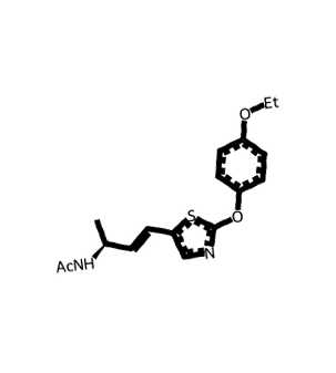 CCOc1ccc(Oc2ncc(/C=C/[C@H](C)NC(C)=O)s2)cc1